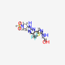 CS(=O)(=O)N1CCC(Nc2ncc(C(F)(F)F)c(-c3cnc(NCCO)s3)n2)CC1